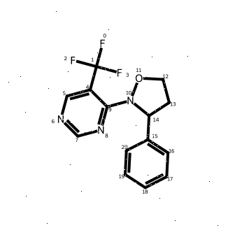 FC(F)(F)c1cncnc1N1OCCC1c1ccccc1